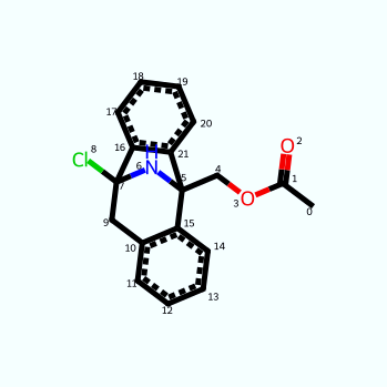 CC(=O)OCC12NC(Cl)(Cc3ccccc31)c1ccccc12